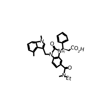 CCN(C)C(=O)c1ccc2c(c1)n([C@H](CC(=O)O)c1ccccc1)c(=O)n2Cc1cn(C)c2cccc(C)c12